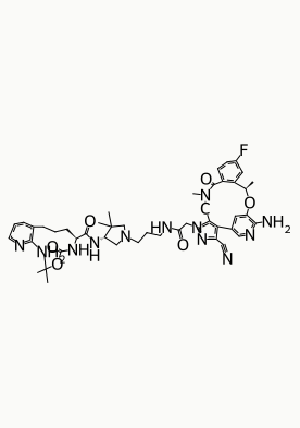 C[C@H]1Oc2cc(cnc2N)-c2c(C#N)nn(CC(=O)NCCCN3C[C@H](NC(=O)[C@H](CCCc4cccnc4N)NC(=O)OC(C)(C)C)C(C)(C)C3)c2CN(C)C(=O)c2ccc(F)cc21